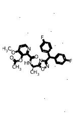 COc1ccnc(C(=O)N[C@@H](C)c2nc(C(c3ccc(F)cc3)c3ccc(F)cc3)no2)c1OC(C)=O